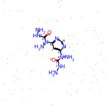 NNC(=O)N(N)c1cc(N(N)C(=O)NN)ncn1